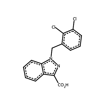 O=C(O)c1nn(Cc2cccc(Cl)c2Cl)c2ccccc12